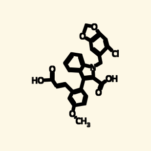 COc1ccc(-c2c(C(=O)O)n(Cc3cc4c(cc3Cl)OCO4)c3ccccc23)c(C=CC(=O)O)c1